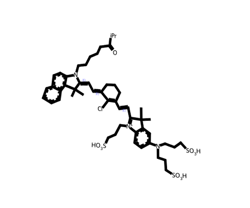 CC(C)C(=O)CCCCCN1/C(=C/C=C2\CCCC(/C=C/C3=[N+](CCCS(=O)(=O)O)c4ccc(N(CCCS(=O)(=O)O)CCCS(=O)(=O)O)cc4C3(C)C)=C2Cl)C(C)(C)c2c1ccc1ccccc21